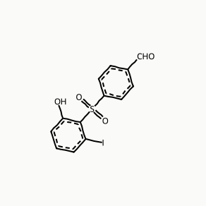 O=Cc1ccc(S(=O)(=O)c2c(O)cccc2I)cc1